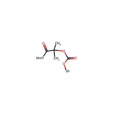 COC(=O)C(C)(C)OC(=O)OC(C)C